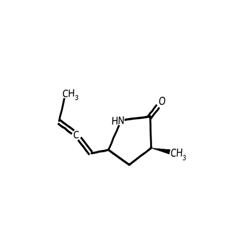 CC=C=CC1C[C@H](C)C(=O)N1